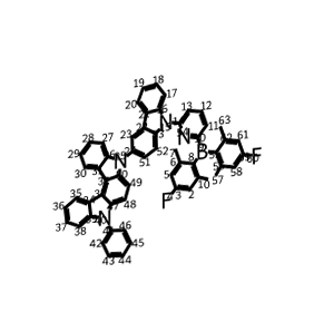 Cc1cc(F)cc(C)c1B(c1cccc(-n2c3ccccc3c3cc(-n4c5ccccc5c5c6c7ccccc7n(-c7ccccc7)c6ccc54)ccc32)n1)c1c(C)cc(F)cc1C